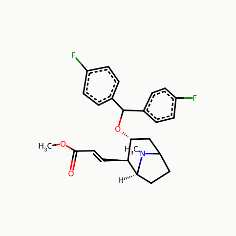 COC(=O)C=C[C@H]1[C@H](OC(c2ccc(F)cc2)c2ccc(F)cc2)CC2CC[C@@H]1N2C